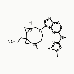 Cc1cc(Nc2cnc3ncc(N4CC[C@@H](C)C5CC5(CCC#N)C5C[C@H]5C4)n3n2)n[nH]1